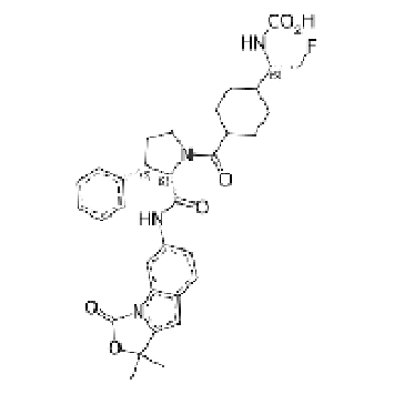 CC1(C)OC(=O)n2c1cc1ccc(NC(=O)[C@@H]3[C@H](c4ccccc4)CCN3C(=O)C3CCC([C@@H](CF)NC(=O)O)CC3)cc12